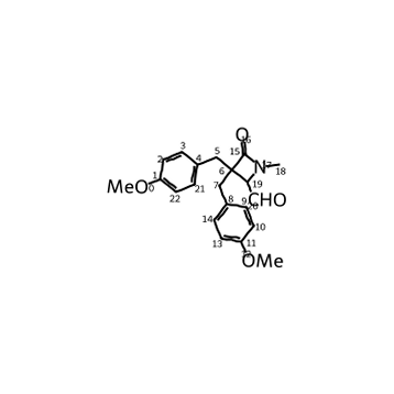 COc1ccc(CC2(Cc3ccc(OC)cc3)C(=O)N(C)C2C=O)cc1